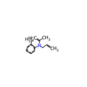 C=CCN(C(=C)C)c1ccccc1C